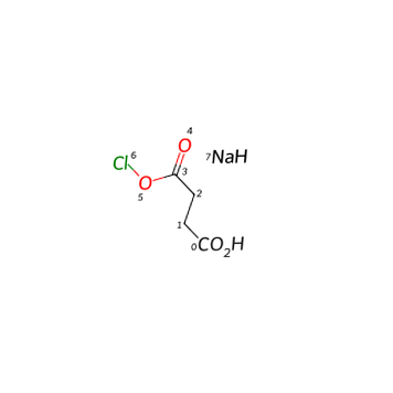 O=C(O)CCC(=O)OCl.[NaH]